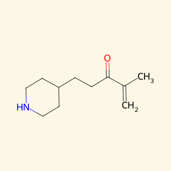 C=C(C)C(=O)CCC1CCNCC1